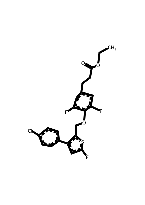 CCOC(=O)CCc1cc(F)c(OCc2sc(F)cc2-c2ccc(Cl)cc2)c(F)c1